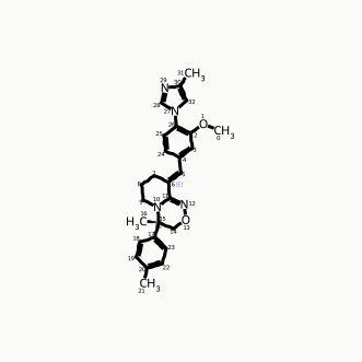 COc1cc(/C=C2\CCCN3C2=NOC[C@]3(C)c2ccc(C)cc2)ccc1-n1cnc(C)c1